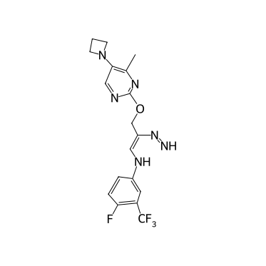 Cc1nc(OC/C(=C/Nc2ccc(F)c(C(F)(F)F)c2)N=N)ncc1N1CCC1